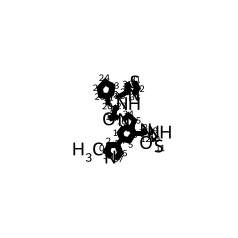 Cc1cc(-c2cc(-c3n[nH]c(=S)o3)c3c(c2)N(C(=O)[C@H](Cc2ccccc2)NCc2cscn2)CC3)ccn1